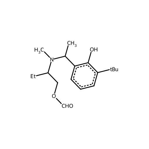 CCC(COC=O)N(C)C(C)c1cccc(C(C)(C)C)c1O